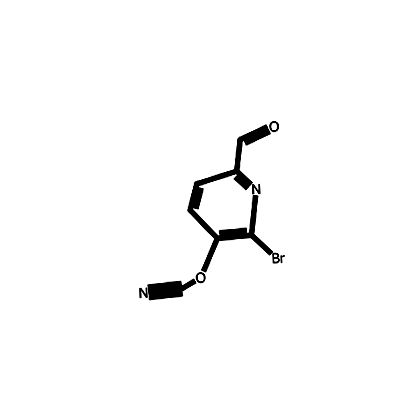 N#COc1ccc(C=O)nc1Br